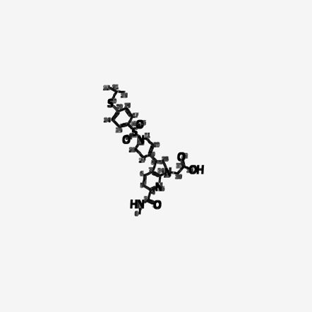 CNC(=O)c1ccc2c(C3=CCN(S(=O)(=O)c4ccc(SC(C)C)cc4)CC3)cn(CC(=O)O)c2n1